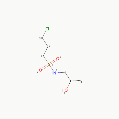 CC(O)CNS(=O)(=O)CCCCl